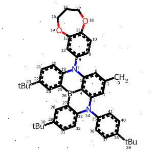 Cc1cc2c3c(c1)N(c1ccc4c(c1)OCCCO4)c1ccc(C(C)(C)C)cc1B3c1cc(C(C)(C)C)ccc1N2c1ccc(C(C)(C)C)cc1